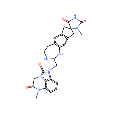 CN1C(=O)Cn2c(=O)n(CC3NCCc4cc5c(cc4N3)CC3(C5)C(=O)NC(=O)N3C)c3cccc1c32